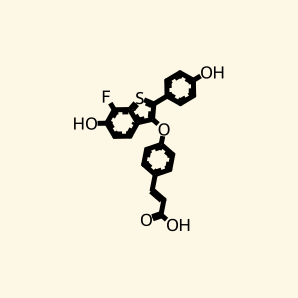 O=C(O)C=Cc1ccc(Oc2c(-c3ccc(O)cc3)sc3c(F)c(O)ccc23)cc1